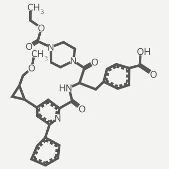 CCOC(=O)N1CCN(C(=O)C(Cc2ccc(C(=O)O)cc2)NC(=O)c2cc(C3CC3COC)cc(-c3ccccc3)n2)CC1